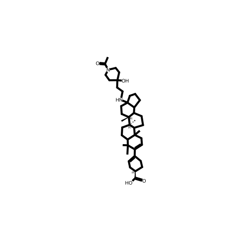 CC(=O)N1CCC(O)(CCNC23CCCC2C2CCC4C5(C)CC=C(C6=CC[C@H](C(=O)O)CC6)C(C)(C)C5CC[C@@]4(C)[C@]2(C)CC3)CC1